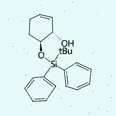 CC(C)(C)[Si](O[C@H]1CCC=C[C@@H]1O)(c1ccccc1)c1ccccc1